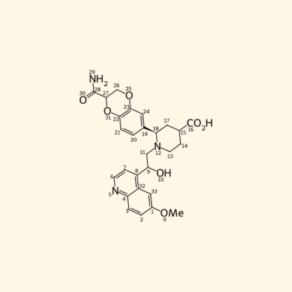 COc1ccc2nccc(C(O)CN3CCC(C(=O)O)C[C@@H]3c3ccc4c(c3)OCC(C(N)=O)O4)c2c1